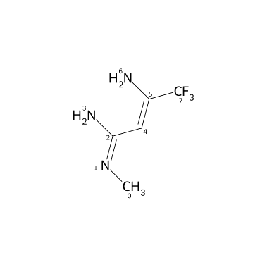 C/N=C(N)\C=C(/N)C(F)(F)F